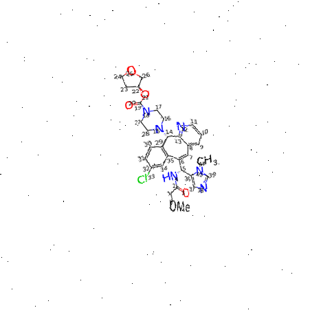 COCC(=O)N[C@H](C1=Cc2cccnc2[C@@H](N2CCN(C(=O)O[C@H]3CCOC3)CC2)c2ccc(Cl)cc21)c1cncn1C